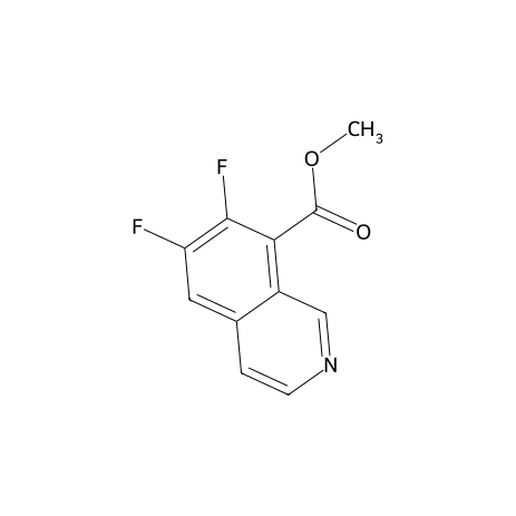 COC(=O)c1c(F)c(F)cc2ccncc12